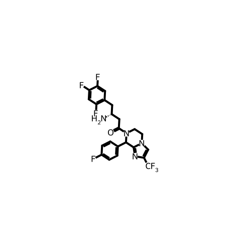 N[C@@H](CC(=O)N1CCn2cc(C(F)(F)F)nc2C1c1ccc(F)cc1)Cc1cc(F)c(F)cc1F